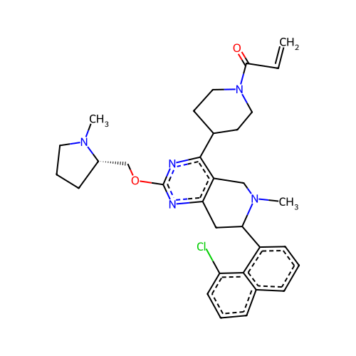 C=CC(=O)N1CCC(c2nc(OC[C@@H]3CCCN3C)nc3c2CN(C)C(c2cccc4cccc(Cl)c24)C3)CC1